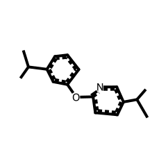 CC(C)c1ccc(Oc2cccc(C(C)C)c2)nc1